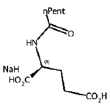 CCCCCC(=O)N[C@@H](CCC(=O)O)C(=O)O.[NaH]